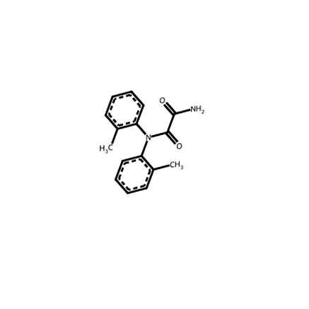 Cc1ccccc1N(C(=O)C(N)=O)c1ccccc1C